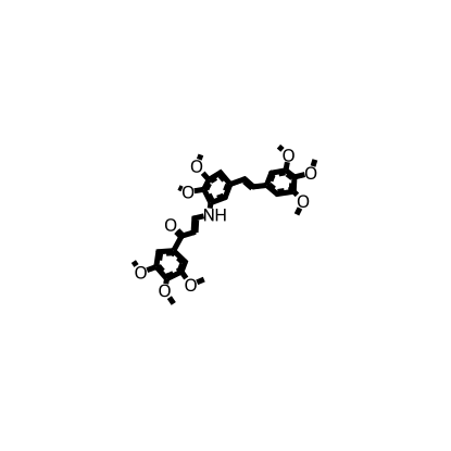 COc1cc(C=Cc2cc(OC)c(OC)c(OC)c2)cc(NC=CC(=O)c2cc(OC)c(OC)c(OC)c2)c1OC